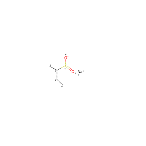 CCC(C)S(=O)[O-].[Na+]